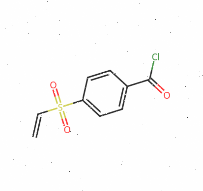 C=CS(=O)(=O)c1ccc(C(=O)Cl)cc1